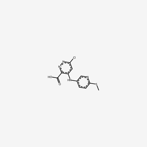 CSc1ccc(Nc2cc(Cl)nnc2C(=O)O)cn1